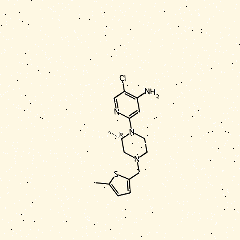 Cc1ccc(CN2CCN(c3cc(N)c(Cl)cn3)[C@@H](C)C2)s1